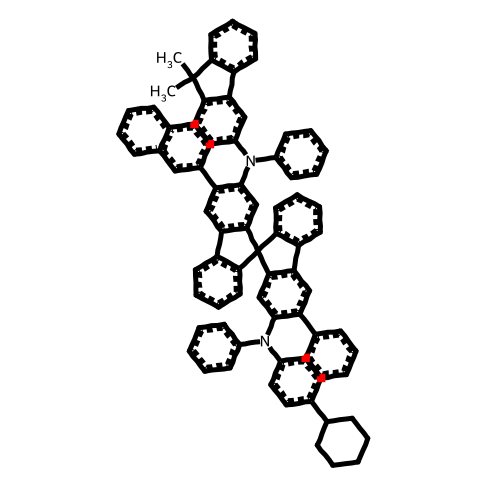 CC1(C)c2ccccc2-c2cc(N(c3ccccc3)c3cc4c(cc3-c3ccc5ccccc5c3)-c3ccccc3C43c4ccccc4-c4cc(-c5ccccc5)c(N(c5ccccc5)c5ccc(C6CCCCC6)cc5)cc43)ccc21